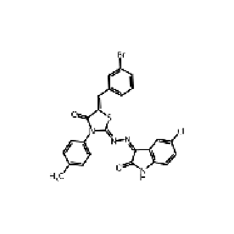 Cc1ccc(N2C(=O)C(=Cc3cccc(Br)c3)SC2=NN=C2C(=O)Nc3ccc(Cl)cc32)cc1